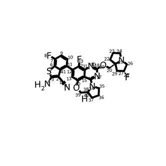 N#Cc1c(N)sc2c(F)ccc(-c3cc4c5c(nc(OC[C@@]67CCCN6C[C@H](F)C7)nc5c3F)N3CCC[C@H]3CO4)c12